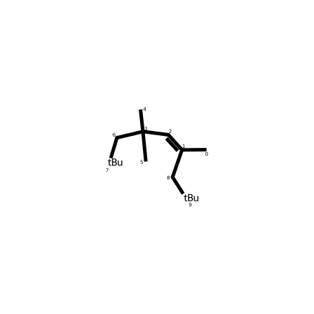 CC(=CC(C)(C)CC(C)(C)C)CC(C)(C)C